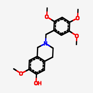 COc1cc2c(cc1O)CCN(Cc1cc(OC)c(OC)cc1OC)C2